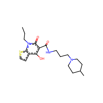 CCCn1c(=O)c(C(=O)NCCCN2CCC(C)CC2)c(O)c2ccsc21